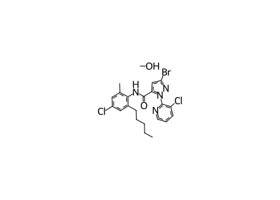 CCCCCc1cc(Cl)cc(C)c1NC(=O)c1cc(Br)nn1-c1ncccc1Cl.CO